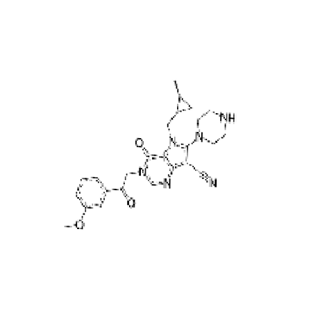 COc1cccc(C(=O)Cn2cnc3c(C#N)c(N4CCNCC4)n(CC4C[C@@H]4C)c3c2=O)c1